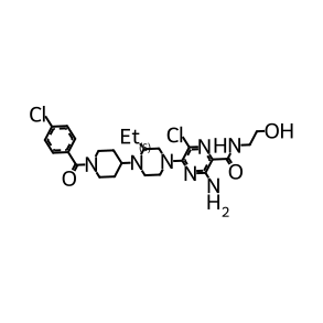 CC[C@H]1CN(c2nc(N)c(C(=O)NCCO)nc2Cl)CCN1C1CCN(C(=O)c2ccc(Cl)cc2)CC1